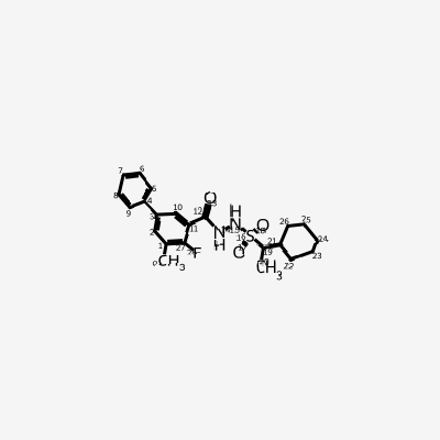 Cc1cc(-c2ccccc2)cc(C(=O)NNS(=O)(=O)C(C)C2CCCCC2)c1F